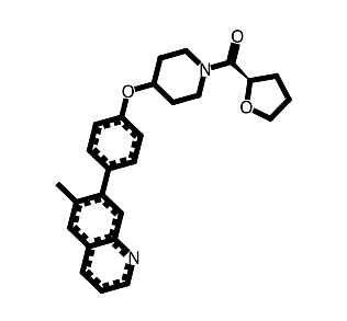 Cc1cc2cccnc2cc1-c1ccc(OC2CCN(C(=O)[C@H]3CCCO3)CC2)cc1